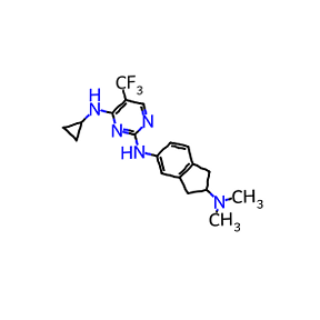 CN(C)C1Cc2ccc(Nc3ncc(C(F)(F)F)c(NC4CC4)n3)cc2C1